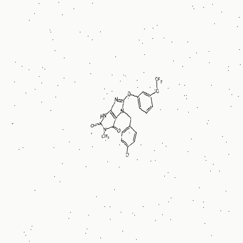 Cn1c(=O)[nH]c2nc(Oc3cccc(OC(F)(F)F)c3)n(Cc3ccc(Cl)cc3)c2c1=O